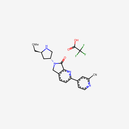 COC[C@@H]1C[C@@H](N2Cc3ccc(-c4ccnc(C#N)c4)nc3C2=O)CN1.O=C(O)C(F)(F)F